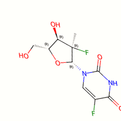 C[C@@]1(F)[C@H](O)[C@@H](CO)O[C@H]1n1cc(F)c(=O)[nH]c1=O